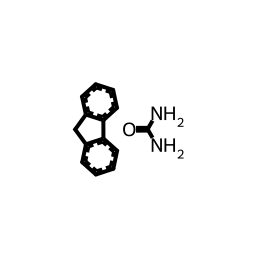 NC(N)=O.c1ccc2c(c1)Cc1ccccc1-2